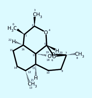 C[C@H]1[C@@H](C)O[C@@H]2O[C@]3(C)CC[C@H]4[C@H](C)CC[C@@H]1[C@@]24OO3